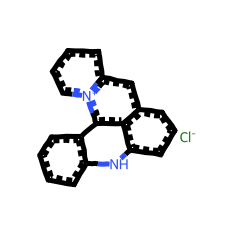 [Cl-].c1ccc2c(c1)Nc1cccc3cc4cccc[n+]4c-2c13